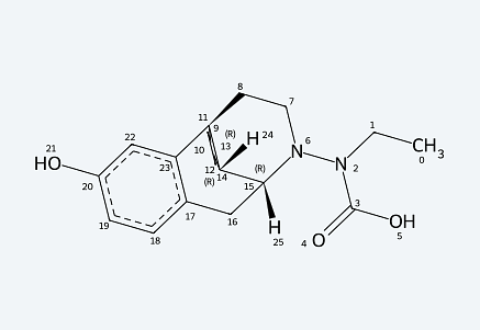 CCN(C(=O)O)N1CC[C@]23CCCC[C@H]2[C@H]1Cc1ccc(O)cc13